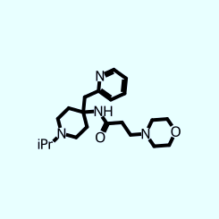 CC(C)N1CCC(Cc2ccccn2)(NC(=O)CCN2CCOCC2)CC1